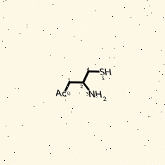 CC(=O)CC(N)CS